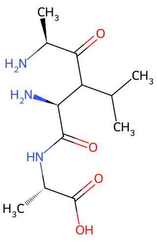 CC(C)C(C(=O)[C@H](C)N)[C@H](N)C(=O)N[C@@H](C)C(=O)O